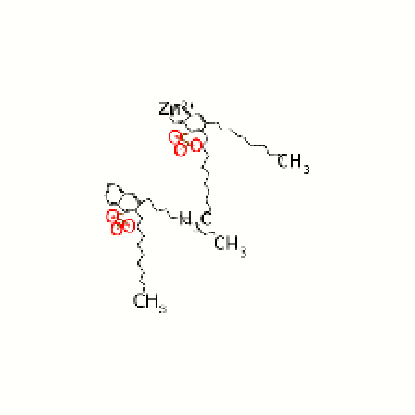 CCCCCCCCCCc1cc2ccccc2c(S(=O)(=O)[O-])c1CCCCCCCCCC.CCCCCCCCCCc1cc2ccccc2c(S(=O)(=O)[O-])c1CCCCCCCCCC.[Zn+2]